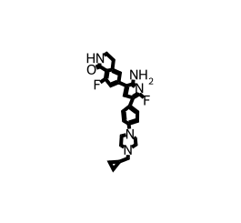 Nc1nc(F)c(-c2ccc(N3CCN(CC4CC4)CC3)cc2)cc1-c1cc(F)c2c(c1)CCNC2=O